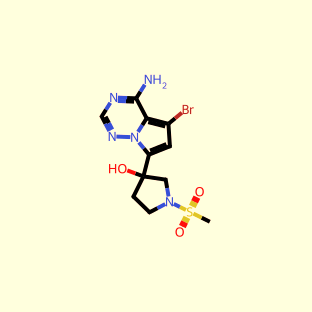 CS(=O)(=O)N1CCC(O)(c2cc(Br)c3c(N)ncnn23)C1